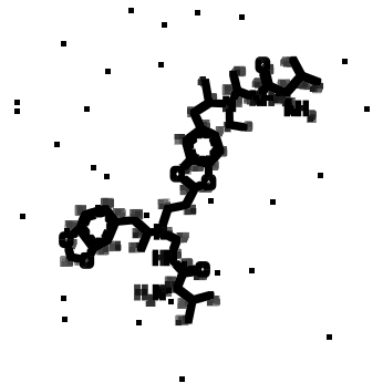 CCN(C(C)Cc1ccc2c(c1)OC(CCN(CNC(=O)[C@@H](N)C(C)C)C(C)Cc1ccc3c(c1)OCO3)O2)C(C)NC(=O)[C@@H](N)C(C)C